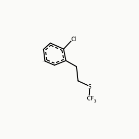 FC(F)(F)SCCc1c[c]ccc1Cl